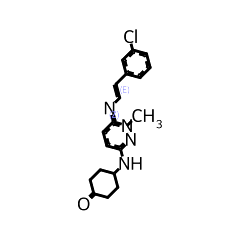 Cn1nc(NC2CCC(=O)CC2)cc/c1=N/C=C/c1cccc(Cl)c1